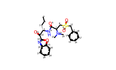 CCC[C@H](NC(=O)C(CS(=O)(=O)Cc1ccccc1)N(C)C)C(=O)c1nc2ccccc2o1